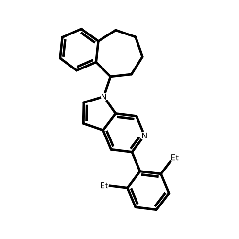 CCc1cccc(CC)c1-c1cc2ccn(C3CCCCc4ccccc43)c2cn1